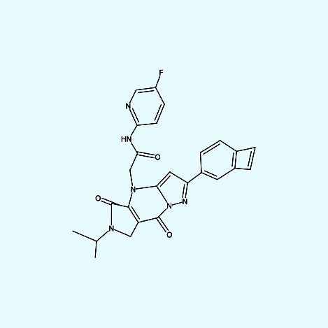 CC(C)N1Cc2c(n(CC(=O)Nc3ccc(F)cn3)c3cc(-c4ccc5c(c4)C=C5)nn3c2=O)C1=O